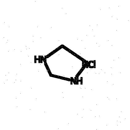 C1CNCN1.Cl